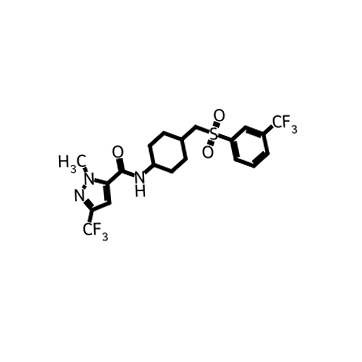 Cn1nc(C(F)(F)F)cc1C(=O)NC1CCC(CS(=O)(=O)c2cccc(C(F)(F)F)c2)CC1